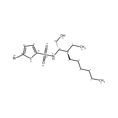 CCCCCC[C@H](CC)[C@@H](CO)NS(=O)(=O)c1ccc(Br)s1